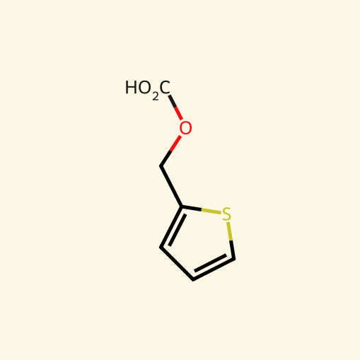 O=C(O)OCc1cccs1